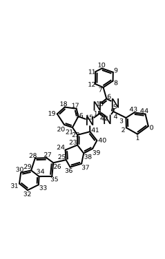 c1ccc(-c2nc(-c3ccccc3)nc(-n3c4ccccc4c4c5cc(-c6ccc7ccccc7c6)ccc5ccc43)n2)cc1